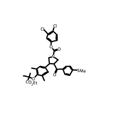 CCOC(=O)C(C)(C)Oc1c(C)cc(C2CN(C(=O)Oc3ccc(Cl)c(Cl)c3)CC2C(=O)c2ccc(SC)cc2)cc1C